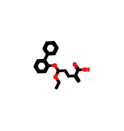 C=C(CCC(OCC)Oc1ccccc1-c1ccccc1)C(=O)O